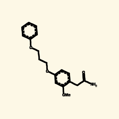 COc1cc(OCCCOc2ccccc2)ccc1CC(N)=O